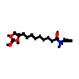 CCCCCCN(C)C(=O)CCCCCCCCC1COC(=O)O1